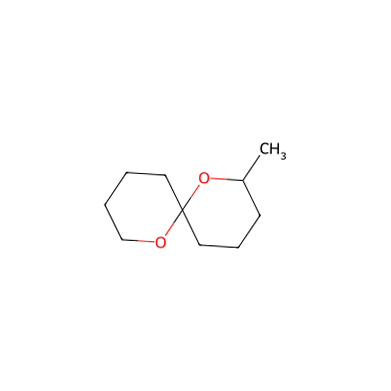 CC1CCCC2(CCCCO2)O1